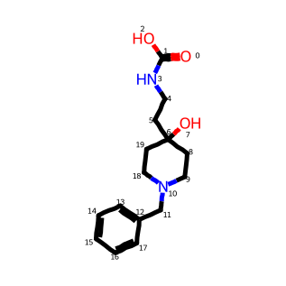 O=C(O)NCCC1(O)CCN(Cc2ccccc2)CC1